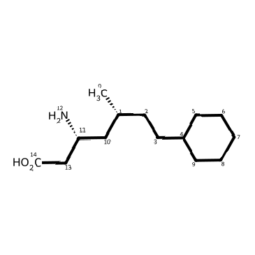 C[C@H](CCC1CCCCC1)C[C@@H](N)CC(=O)O